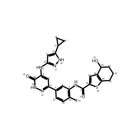 O=C(Nc1cc(-c2cc(Nc3cc(C4CC4)[nH]n3)c(=O)[nH]n2)ccc1F)c1cc2c(s1)CCCC2O